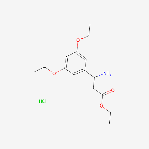 CCOC(=O)CC(N)c1cc(OCC)cc(OCC)c1.Cl